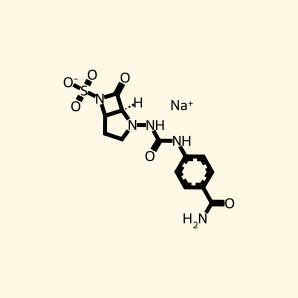 NC(=O)c1ccc(NC(=O)NN2CCC3[C@H]2C(=O)N3S(=O)(=O)[O-])cc1.[Na+]